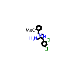 COc1ccccc1Cn1cnc(-c2ccc(Cl)cc2Cl)c1CN